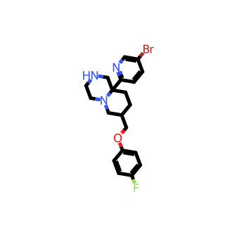 Fc1ccc(OCC2CCC3(c4ccc(Br)cn4)CNCCN3C2)cc1